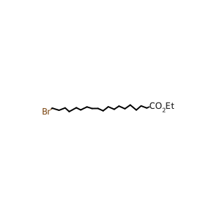 CCOC(=O)CCCCCCCCCCCCCCCCCCBr